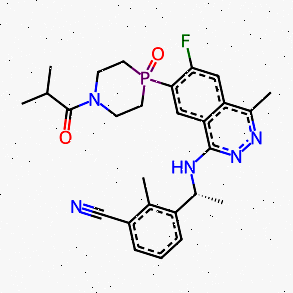 Cc1c(C#N)cccc1[C@@H](C)Nc1nnc(C)c2cc(F)c(P3(=O)CCN(C(=O)C(C)C)CC3)cc12